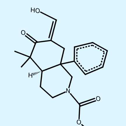 CC(C)(C)OC(=O)N1CC[C@H]2C(C)(C)C(=O)/C(=C\O)CC2(c2ccccc2)C1